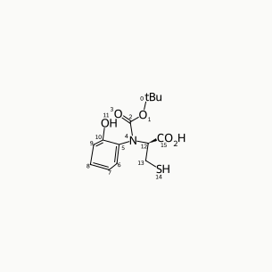 CC(C)(C)OC(=O)N(c1ccccc1O)[C@H](CS)C(=O)O